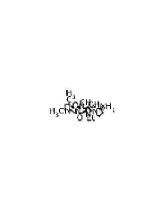 CCn1c(N2CCC[C@@H](N)C2)c(C)c2c1c(=O)n(Cc1nc(C)cc(C)n1)c(=O)n2C